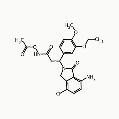 CCOc1cc(C(CC(=O)NOC(C)=O)N2Cc3c(Cl)ccc(N)c3C2=O)ccc1OC